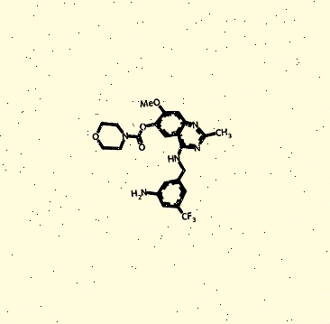 COc1cc2nc(C)nc(NCc3cc(N)cc(C(F)(F)F)c3)c2cc1OC(=O)N1CCOCC1